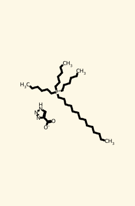 CCCCCCCCCCCCCC[P+](CCCCCC)(CCCCCC)CCCCCC.O=C([O-])c1c[nH]nn1